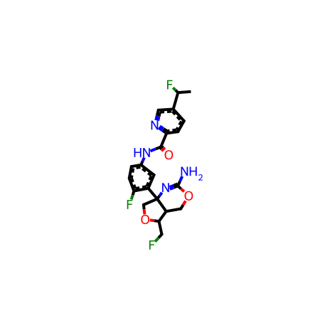 CC(F)c1ccc(C(=O)Nc2ccc(F)c(C34COC(CF)C3COC(N)=N4)c2)nc1